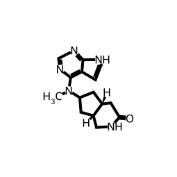 CN(c1ncnc2[nH]ccc12)C1C[C@H]2CNC(=O)C[C@H]2C1